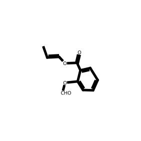 CC=COC(=O)c1ccccc1OC=O